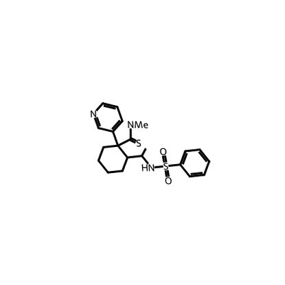 CNC(=S)C1(c2cccnc2)CCCCC1C(C)NS(=O)(=O)c1ccccc1